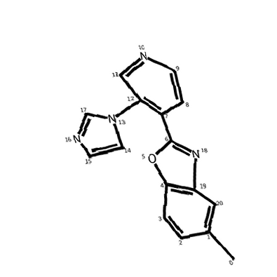 Cc1ccc2oc(-c3ccncc3-n3ccnc3)nc2c1